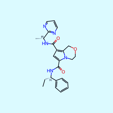 CC[C@H](NC(=O)c1cc(C(=O)N[C@H](C)c2ncccn2)c2n1CCOC2)c1ccccc1